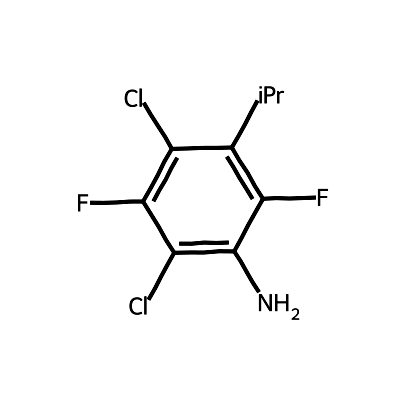 CC(C)c1c(F)c(N)c(Cl)c(F)c1Cl